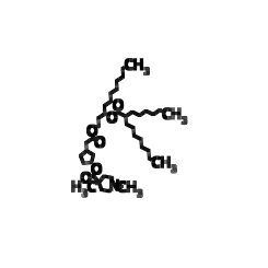 CCCCCCCCC(CCOC(=O)CC1CCC(OC(=O)C2(C)CCN(C)CC2)C1)OC(=O)C(CCCCCC)CCCCCCCC